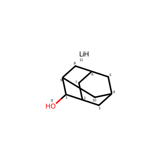 OC1C2CC3CC(C2)CC1C3.[LiH]